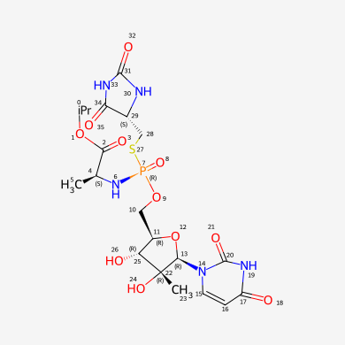 CC(C)OC(=O)[C@H](C)N[P@@](=O)(OC[C@H]1O[C@@H](n2ccc(=O)[nH]c2=O)[C@](C)(O)[C@@H]1O)SC[C@H]1NC(=O)NC1=O